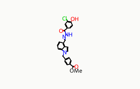 COC(=O)c1ccc(Cn2ccc3c(/C=N/NC(=O)c4ccc(O)c(Cl)c4)cccc32)cc1